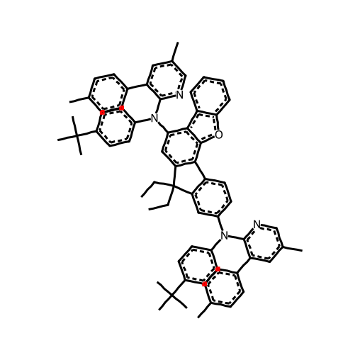 CCC1(CC)c2cc(N(c3ccc(C(C)(C)C)cc3)c3ncc(C)cc3-c3ccc(C)cc3)ccc2-c2c1cc(N(c1ccc(C(C)(C)C)cc1)c1ncc(C)cc1-c1ccc(C)cc1)c1c2oc2ccccc21